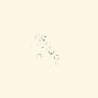 CC(C)c1cccc(C(C)C)c1OC(=O)CCCNC(=O)[C@@H](NC(=O)OC(C)(C)C)C(C)C.O=C(O)C(F)(F)F